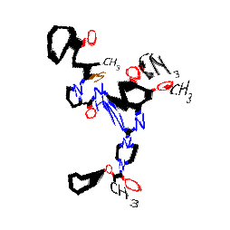 COc1cc2nc(N3CCN(C(=O)C(C)Oc4ccccc4)CC3)nc(NC(=O)[C@H]3CCCN3C(=S)C(C)CC(=O)c3ccccc3)c2cc1OC